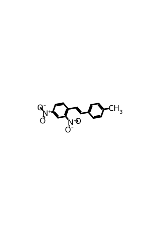 Cc1ccc(/C=C/c2ccc([N+](=O)[O-])cc2[N+](=O)[O-])cc1